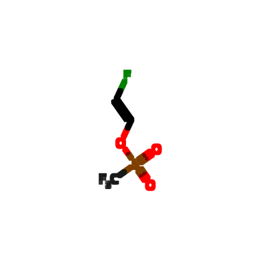 O=S(=O)(OC=CF)C(F)(F)F